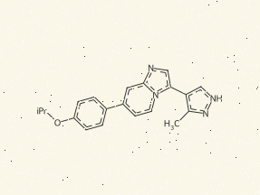 Cc1n[nH]cc1-c1cnc2cc(-c3ccc(OC(C)C)cc3)ccn12